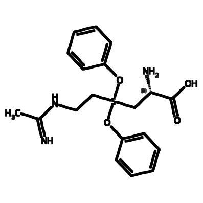 CC(=N)NCCS(C[C@H](N)C(=O)O)(Oc1ccccc1)Oc1ccccc1